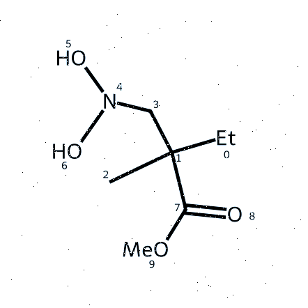 CCC(C)(CN(O)O)C(=O)OC